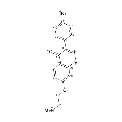 CNCCOc1ccc2c(=O)c(-c3ccc(C(C)(C)C)cc3)coc2c1